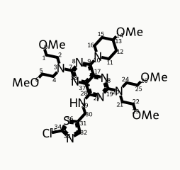 COCCN(CCOC)c1nc(N2CCC(OC)CC2)c2nc(N(CCOC)CCOC)nc(NCc3cnc(Cl)s3)c2n1